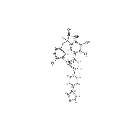 Cc1ccc(C2CC23C(=O)Nc2c3cc(-c3ccc(-c4ccc(-n5cncn5)cc4)cc3)c(Cl)c2Cl)cc1C(=O)O